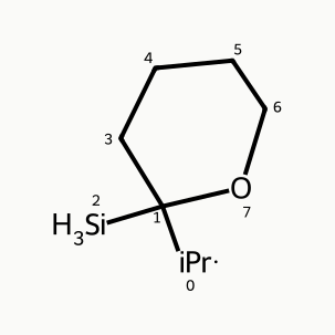 C[C](C)C1([SiH3])CCCCO1